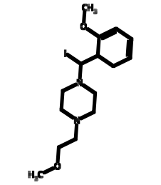 COCCN1CCN(C(I)C2CC=CC=C2OC)CC1